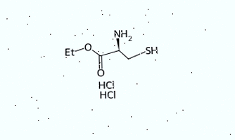 CCOC(=O)[C@@H](N)CS.Cl.Cl